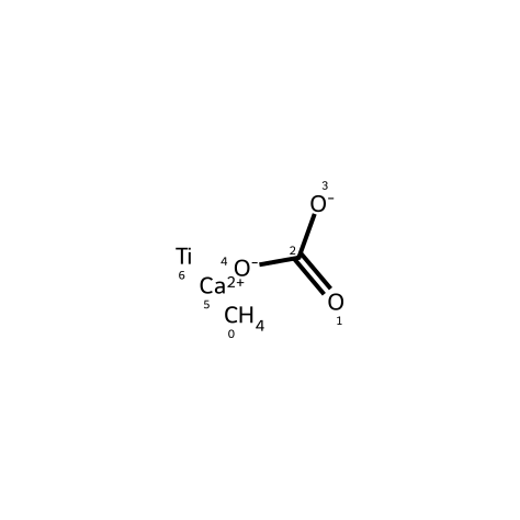 C.O=C([O-])[O-].[Ca+2].[Ti]